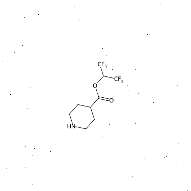 O=C(OC(C(F)(F)F)C(F)(F)F)C1CCNCC1